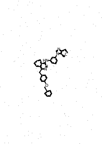 c1ccc(COc2ccc(Cc3nnc(Nc4cccc(-n5cnc6ccccc65)c4)c4ccccc34)cc2)cc1